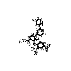 Cc1ccnc(-c2cc(-c3ccc(C(=O)O)c(Sc4ccc([N+](=O)[O-])cc4[N+](=O)[O-])c3C)ccn2)c1